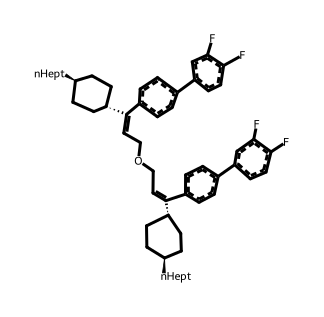 CCCCCCC[C@H]1CC[C@H](C(=CCOCC=C(c2ccc(-c3ccc(F)c(F)c3)cc2)[C@H]2CC[C@H](CCCCCCC)CC2)c2ccc(-c3ccc(F)c(F)c3)cc2)CC1